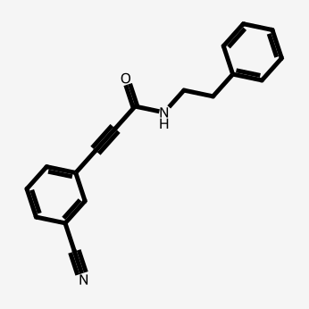 N#Cc1cccc(C#CC(=O)NCCc2ccccc2)c1